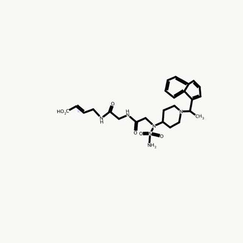 CC(c1cccc2ccccc12)N1CCC(N(CC(=O)NCC(=O)NC/C=C/C(=O)O)S(N)(=O)=O)CC1